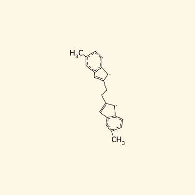 Cc1ccc2c(c1)C=C(CCC1=Cc3cc(C)ccc3[CH]1)[CH]2